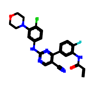 C=CC(=O)Nc1cc(-c2nc(Nc3ccc(Cl)c(N4CCOCC4)c3)ncc2C#N)ccc1F